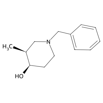 C[C@H]1CN(Cc2ccccc2)CC[C@H]1O